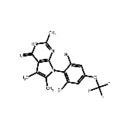 Cc1nc2c(c(C)c(C)n2-c2c(Br)cc(OC(F)(F)F)cc2Br)c(=O)[nH]1